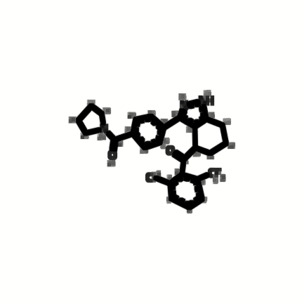 O=C(c1c(Cl)cccc1C(F)(F)F)C1CCCc2[nH]nc(-c3ccc(C(=O)N4CCCC4)cc3)c21